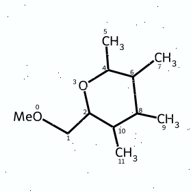 COCC1OC(C)C(C)C(C)C1C